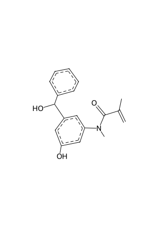 C=C(C)C(=O)N(C)c1cc(O)cc(C(O)c2ccccc2)c1